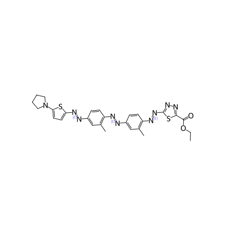 CCOC(=O)c1nnc(/N=N/c2ccc(/N=N/c3ccc(/N=N/c4ccc(N5CCCC5)s4)cc3C)cc2C)s1